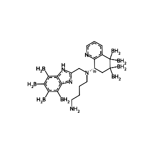 Bc1c(B)c(B)c2[nH]c(CN(CCCCN)[C@H]3CC(B)(B)C(B)(B)c4cccnc43)nc2c1B